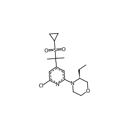 CC[C@H]1COCCN1c1cc(C(C)(C)S(=O)(=O)C2CC2)cc(Cl)n1